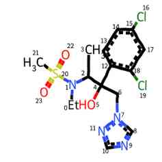 CCN(C(C)C(O)(Cn1cncn1)c1ccc(Cl)cc1Cl)S(C)(=O)=O